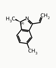 C=CC1=N[C@H](C)c2ccc(C)cc21